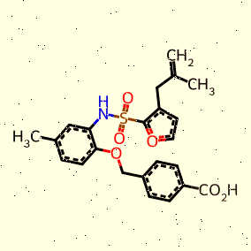 C=C(C)Cc1ccoc1S(=O)(=O)Nc1cc(C)ccc1OCc1ccc(C(=O)O)cc1